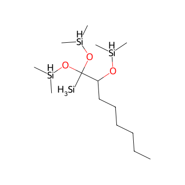 CCCCCCC(O[SiH](C)C)C([SiH3])(O[SiH](C)C)O[SiH](C)C